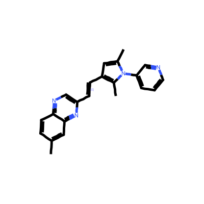 Cc1ccc2ncc(/C=C/c3cc(C)n(-c4cccnc4)c3C)nc2c1